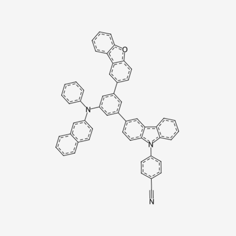 N#Cc1ccc(-n2c3ccccc3c3cc(-c4cc(-c5ccc6oc7ccccc7c6c5)cc(N(c5ccccc5)c5ccc6ccccc6c5)c4)ccc32)cc1